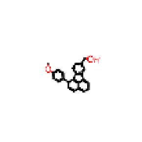 COc1ccc(C2C=CC3=CCC=C4C3=C2c2ccc(CO)cc24)cc1